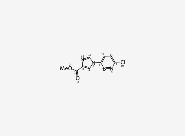 COC(=O)c1cn(-c2bnc(Cl)cc2)cn1